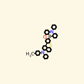 Cc1ccc(N(c2ccccc2)c2ccc3c4c(cccc24)Sc2cc4c(cc2-3)Oc2cccc3c2B4c2ccccc2N3c2ccccc2)cc1